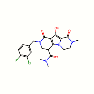 CN(C)C(=O)C1CN(Cc2ccc(F)c(Cl)c2)C(=O)c2c(O)c3n(c21)CCN(C)C3=O